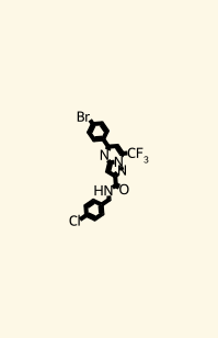 O=C(NCc1ccc(Cl)cc1)c1cc2nc(-c3ccc(Br)cc3)cc(C(F)(F)F)n2n1